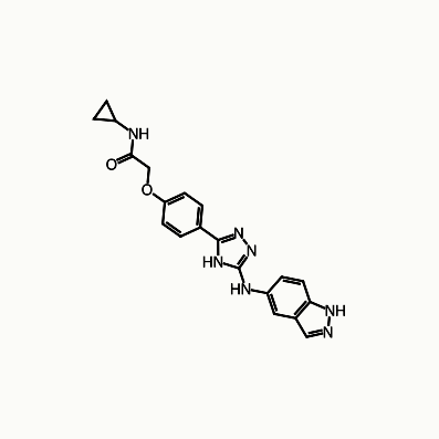 O=C(COc1ccc(-c2nnc(Nc3ccc4[nH]ncc4c3)[nH]2)cc1)NC1CC1